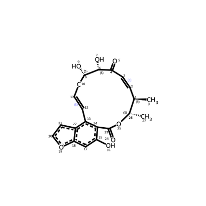 C[C@@H]1/C=C\C(=O)[C@@H](O)[C@@H](O)C/C=C/c2c(c(O)cc3occc23)C(=O)O[C@H]1C